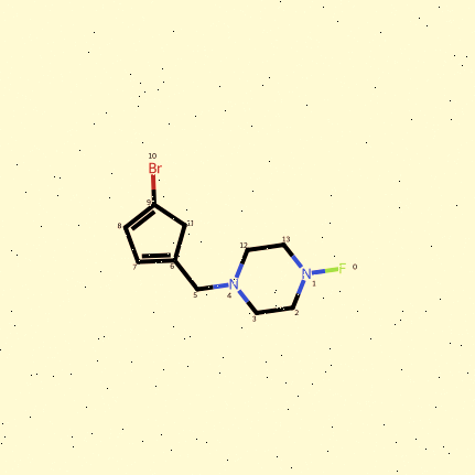 FN1CCN(CC2=CC=C(Br)C2)CC1